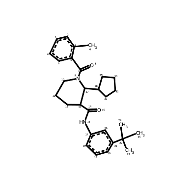 Cc1ccccc1C(=O)N1CCCC(C(=O)Nc2cccc(C(C)(C)C)c2)C1C1CCCC1